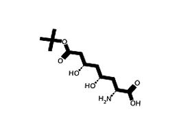 CC(C)(C)OC(=O)C[C@@H](O)C[C@@H](O)C[C@@H](N)C(=O)O